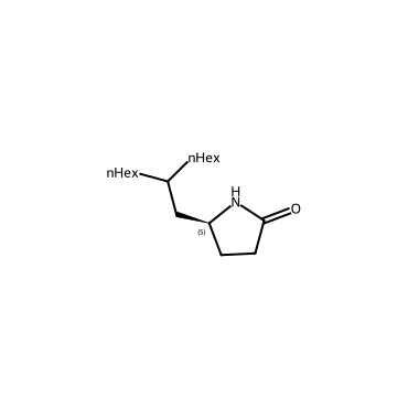 CCCCCCC(CCCCCC)C[C@@H]1CCC(=O)N1